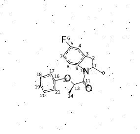 CC1Cc2cc(F)ccc2N1C(=O)[C@@H](C)Oc1ccccc1